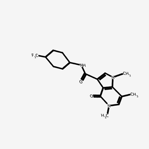 Cc1cn(C)c(=O)c2c(C(=O)NC3CCC(C(F)(F)F)CC3)cn(C)c12